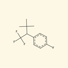 CC(C)(C)C(c1ccc(F)cc1)C(F)(F)F